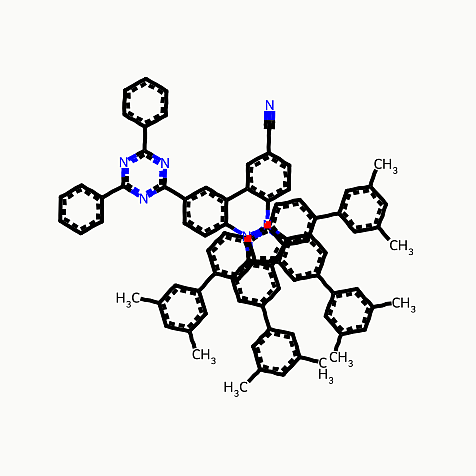 Cc1cc(C)cc(-c2ccc3c(c2)c2cc(-c4cc(C)cc(C)c4)ccc2n3-c2ccc(C#N)cc2-c2cc(-c3nc(-c4ccccc4)nc(-c4ccccc4)n3)ccc2-n2c3ccc(-c4cc(C)cc(C)c4)cc3c3cc(-c4cc(C)cc(C)c4)ccc32)c1